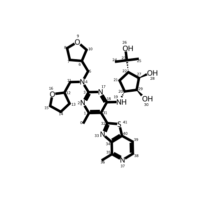 Cc1nc(N(CC2CCOC2)CC2CCCO2)nc(N[C@@H]2C[C@H](C(C)(C)O)[C@@H](O)[C@H]2O)c1-c1nc2c(C)nccc2s1